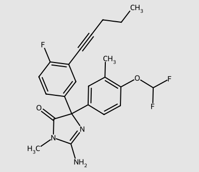 CCCC#Cc1cc(C2(c3ccc(OC(F)F)c(C)c3)N=C(N)N(C)C2=O)ccc1F